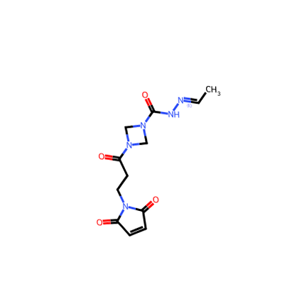 C/C=N/NC(=O)N1CN(C(=O)CCN2C(=O)C=CC2=O)C1